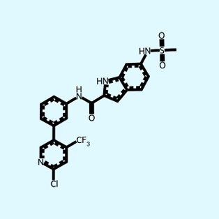 CS(=O)(=O)Nc1ccc2cc(C(=O)Nc3cccc(-c4cnc(Cl)cc4C(F)(F)F)c3)[nH]c2c1